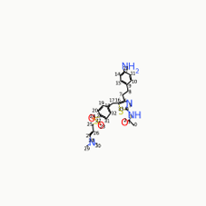 CC(=O)Nc1nc(CCc2ccc(N)cc2)c(Cc2ccc(S(=O)(=O)CC=CN(C)C)cc2)s1